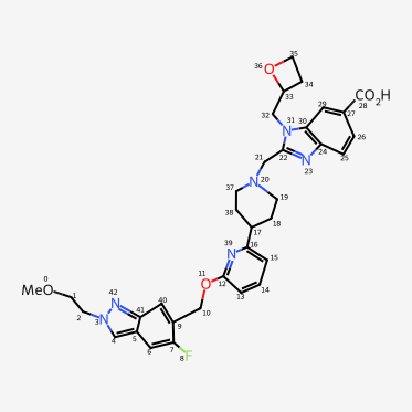 COCCn1cc2cc(F)c(COc3cccc(C4CCN(Cc5nc6ccc(C(=O)O)cc6n5CC5CCO5)CC4)n3)cc2n1